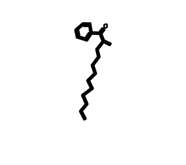 CCCCCCCCCCC(C)C(=O)c1ccccc1